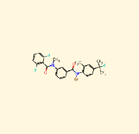 CN(C(=O)c1c(F)cccc1F)c1cccc(C(=O)N(Br)c2ccc(C(F)(C(F)(F)F)C(F)(F)F)cc2C(F)(F)F)c1